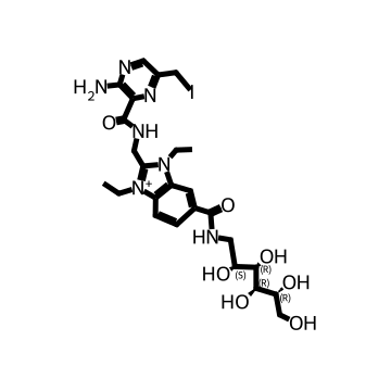 CCn1c(CNC(=O)c2nc(CI)cnc2N)[n+](CC)c2ccc(C(=O)NC[C@H](O)[C@@H](O)[C@H](O)[C@H](O)CO)cc21